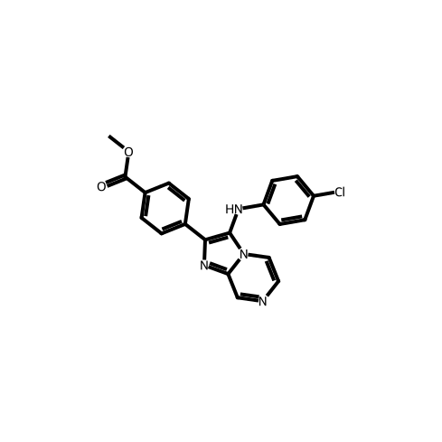 COC(=O)c1ccc(-c2nc3cnccn3c2Nc2ccc(Cl)cc2)cc1